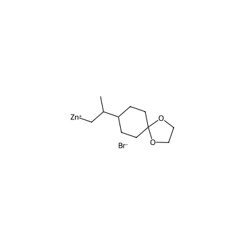 CC([CH2][Zn+])C1CCC2(CC1)OCCO2.[Br-]